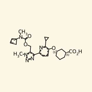 CN(C(=O)OCc1c(-c2ccc(O[C@H]3CCC[C@H](C(=O)O)C3)c(C3CC3)n2)nnn1C)C12CC(C1)C2